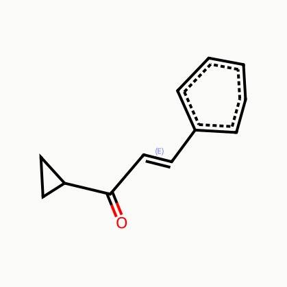 O=C(/C=C/c1ccccc1)C1CC1